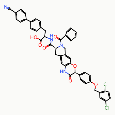 N#Cc1ccc(-c2ccc(CC(NC(=O)[C@@H]3Cc4cc5c(cc4CN3C(=O)c3ccccc3)O[C@@H](c3ccc(OCc4cc(Cl)ccc4Cl)cc3)C(=O)N5)C(=O)O)cc2)cc1